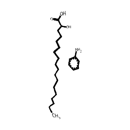 CCCCCCCCCCCCCCCCC(O)C(=O)O.Nc1ccccc1